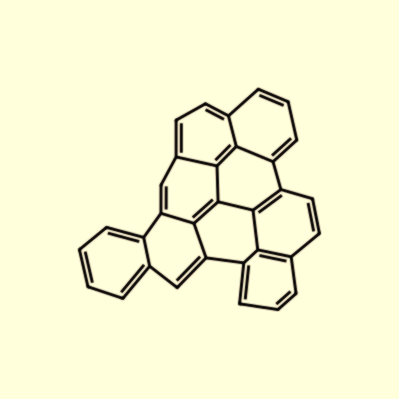 c1ccc2c(c1)cc1c3cccc4ccc5c6cccc7ccc8cc2c1c(c8c76)c5c43